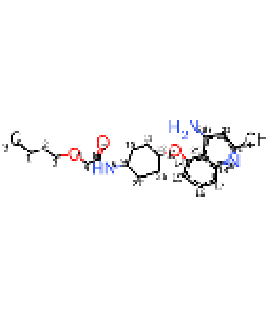 CCCCOCC(=O)N[C@H]1CC[C@H](Oc2cccc3nc(C)cc(N)c23)CC1